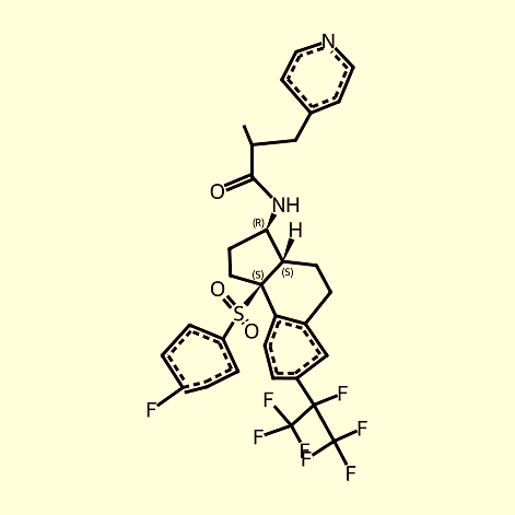 CC(Cc1ccncc1)C(=O)N[C@@H]1CC[C@@]2(S(=O)(=O)c3ccc(F)cc3)c3ccc(C(F)(C(F)(F)F)C(F)(F)F)cc3CC[C@@H]12